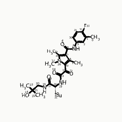 Cc1cc(NC(=O)c2c(C)c(C(=O)C(=O)N[C@@H](C(=O)NCC(C)(C)O)C(C)(C)C)n(C)c2C)ccc1F